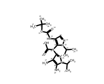 CC(C)n1nc(N(C(=O)O)c2c(NC(=O)OC(C)(C)C)cnn2C(C)C)c(N)c1N